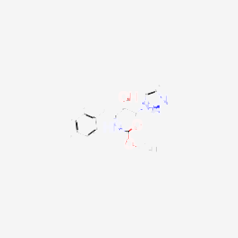 CC(C)(C)OC(=O)N[C@H](Cc1ccccc1)[C@H](O)Cn1ccnn1